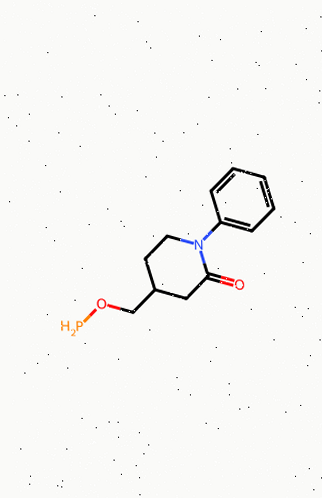 O=C1CC(COP)CCN1c1ccccc1